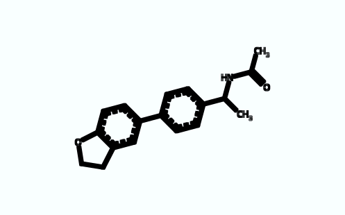 CC(=O)NC(C)c1ccc(-c2ccc3c(c2)CCO3)cc1